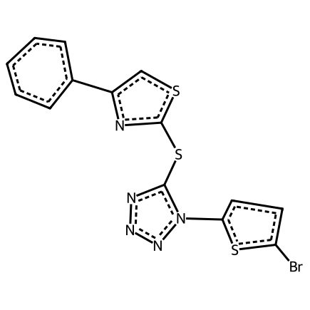 Brc1ccc(-n2nnnc2Sc2nc(-c3ccccc3)cs2)s1